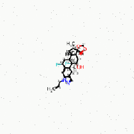 C=CCn1ncc2c1C=C1[C@@H](F)C[C@H]3[C@@H]4C[C@H](C)[C@@]5(OCOC56COCO6)[C@@]4(C)C[C@H](O)[C@]3(F)[C@@]1(C)C2